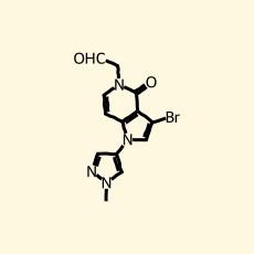 Cn1cc(-n2cc(Br)c3c(=O)n(CC=O)ccc32)cn1